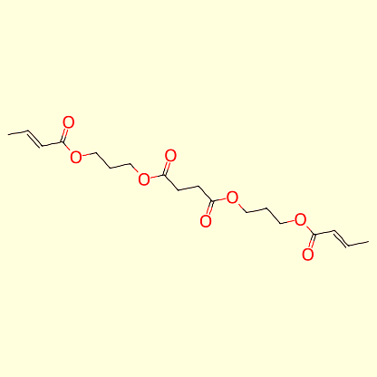 CC=CC(=O)OCCCOC(=O)CCC(=O)OCCCOC(=O)C=CC